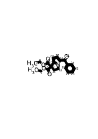 CCOC(=O)C1(C(=O)OCC)CCn2c(C(=O)c3ccccc3)ccc21